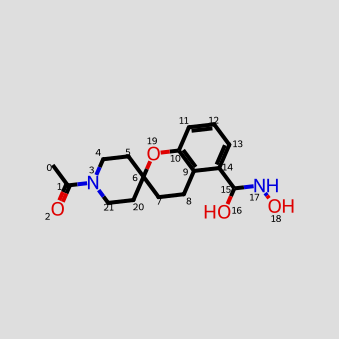 CC(=O)N1CCC2(CCc3c(cccc3C(O)NO)O2)CC1